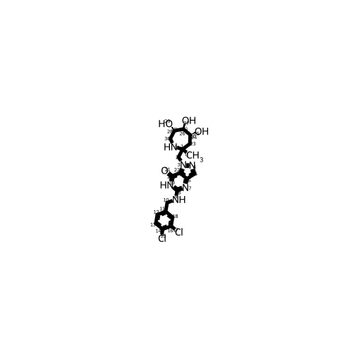 CC1(Cn2ncc3nc(NCc4ccc(Cl)c(Cl)c4)[nH]c(=O)c32)C[C@@H](O)[C@H](O)[C@@H](O)CN1